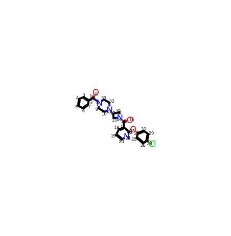 O=C(c1ccccc1)N1CCN(C2CN(C(=O)c3cccnc3Oc3ccc(Cl)cc3)C2)CC1